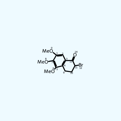 COc1cc2c(c(OC)c1OC)CCC(Br)C2=O